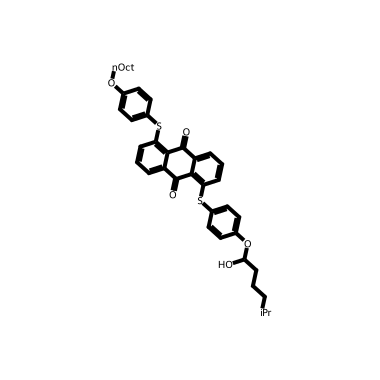 CCCCCCCCOc1ccc(Sc2cccc3c2C(=O)c2cccc(Sc4ccc(OC(O)CCCC(C)C)cc4)c2C3=O)cc1